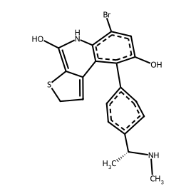 CN[C@H](C)c1ccc(-c2c(O)cc(Br)c3c2C2=CCSC2=C(O)N3)cc1